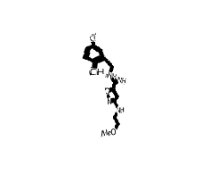 COCCNc1cc(C(=N)NCc2cc(Cl)ccc2C)on1